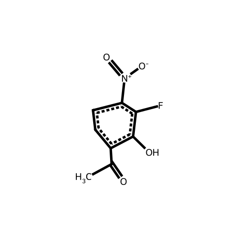 CC(=O)c1ccc([N+](=O)[O-])c(F)c1O